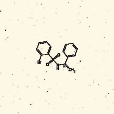 C[C@@H](NS(=O)(=O)c1ccccc1Br)c1ccccc1